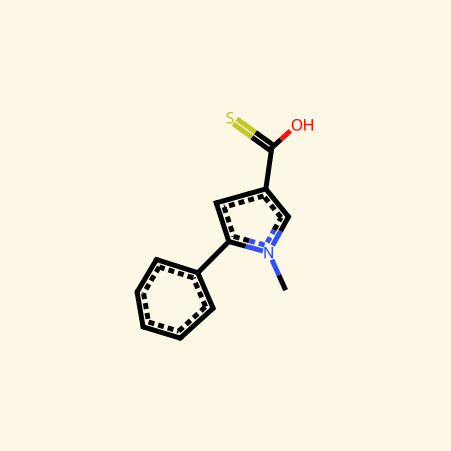 Cn1cc(C(O)=S)cc1-c1ccccc1